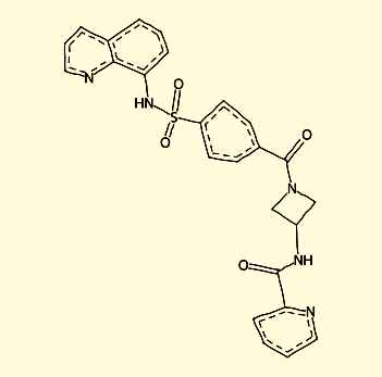 O=C(NC1CN(C(=O)c2ccc(S(=O)(=O)Nc3cccc4cccnc34)cc2)C1)c1ccccn1